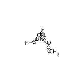 COc1ccc(C(=O)CCCC(=O)N[C@H](CN2CC[C@@H](F)C2)[C@H](O)c2ccc(OCCCCF)cc2)cc1